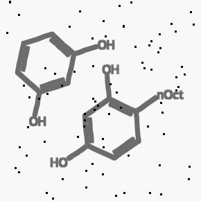 CCCCCCCCc1ccc(O)cc1O.Oc1cccc(O)c1